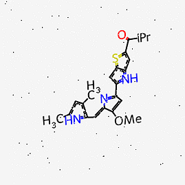 COC1=CC(c2cc3sc(C(=O)C(C)C)cc3[nH]2)=NC1=Cc1[nH]c(C)cc1C